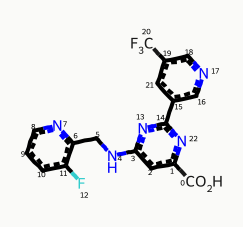 O=C(O)c1cc(NCc2ncccc2F)nc(-c2cncc(C(F)(F)F)c2)n1